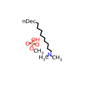 CCCCCCCCCCCCCCCCCCCN(C)C.COS(=O)(=O)O